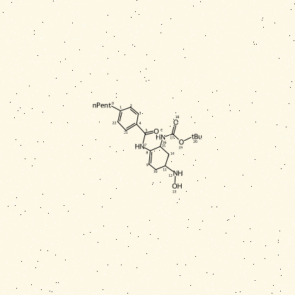 CCCCCc1ccc(C(=O)NC2=CCC(NO)CC2NC(=O)OC(C)(C)C)cc1